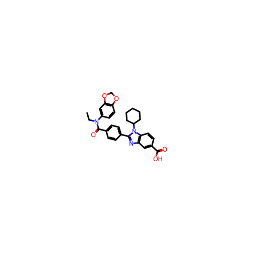 CCN(C(=O)c1ccc(-c2nc3cc(C(=O)O)ccc3n2C2CCCCC2)cc1)c1ccc2c(c1)OCO2